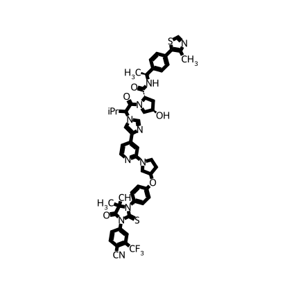 Cc1ncsc1-c1ccc([C@H](C)NC(=O)[C@@H]2C[C@@H](O)CN2C(=O)C(C(C)C)n2cnc(-c3ccnc(N4CCC(Oc5ccc(N6C(=S)N(c7ccc(C#N)c(C(F)(F)F)c7)C(=O)C6(C)C)cc5)C4)c3)c2)cc1